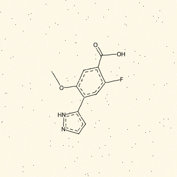 COc1cc(C(=O)O)c(F)cc1-c1ccn[nH]1